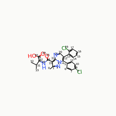 Cc1nn2c(-c3ccc(Cl)cc3)c(-c3ccccc3Cl)cnc2c1C(=O)N[C@H](C(=O)O)C(C)C